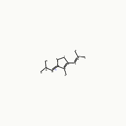 CC1=C(C=[N+](C)C)CC/C1=C\N(C)C